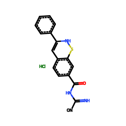 Cl.N=C(N=O)NC(=O)c1ccc2c(c1)SNC(c1ccccc1)=C2